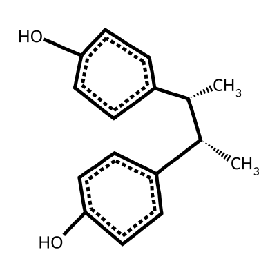 C[C@H](c1ccc(O)cc1)[C@@H](C)c1ccc(O)cc1